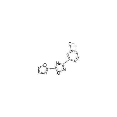 Cc1cccc(-c2noc(-c3ccco3)n2)c1